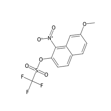 COc1ccc2ccc(OS(=O)(=O)C(F)(F)F)c([N+](=O)[O-])c2c1